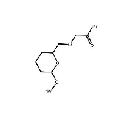 CCCOC1CCCC(COCC(=O)C(C)C)O1